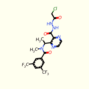 CC(c1nccnc1C(=O)NNC(=O)CCl)N(C)C(=O)c1cc(C(F)(F)F)cc(C(F)(F)F)c1